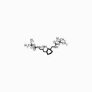 CC(C)(C)OC(=O)NCc1cccc(C[C@H](N)CNC(=O)OC(C)(C)C)c1